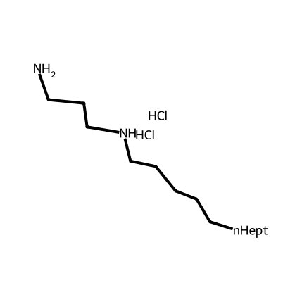 CCCCCCCCCCCCNCCCN.Cl.Cl